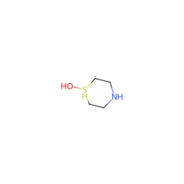 O[SH]1[CH]CNCC1